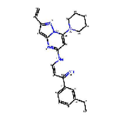 C=Cc1cc2nc(N/C=C\C(=N)c3cccc(CC)c3)cc(N3CCCCC3)n2n1